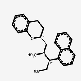 CC(C)(C)C[C@H](c1cccc2ccccc12)N(C[C@H]1CCc2ccccc2O1)C(=O)O